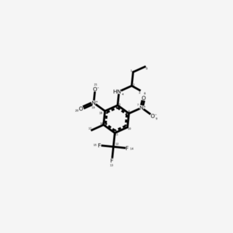 CCC(C)Nc1c([N+](=O)[O-])cc(C(F)(F)F)c(C)c1[N+](=O)[O-]